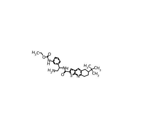 CCOC(=O)Nc1cccc(C(CN)NC(=O)c2cc3cc4c(nc3s2)CCC(C(C)(C)C)C4)c1